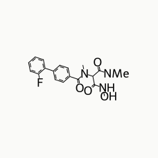 CNC(=O)C(C(=O)NO)N(C)C(=O)c1ccc(-c2ccccc2F)cc1